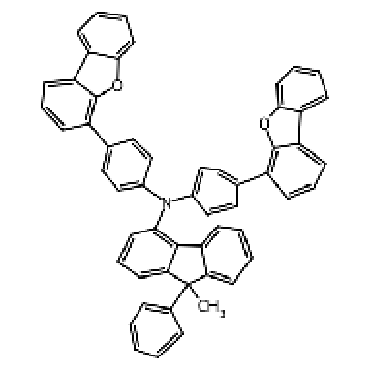 CC1(c2ccccc2)c2ccccc2-c2c(N(c3ccc(-c4cccc5c4oc4ccccc45)cc3)c3ccc(-c4cccc5c4oc4ccccc45)cc3)cccc21